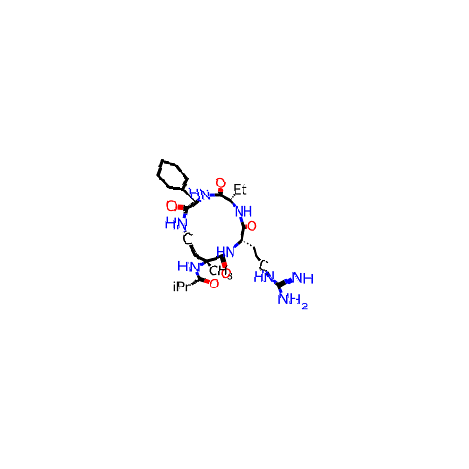 CC[C@@H]1NC(=O)[C@H](CCCNC(=N)N)NC(=O)[C@](C)(NC(=O)C(C)C)CCNC(=O)[C@@H](C2CCCCC2)NC1=O